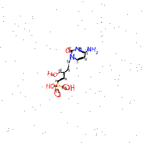 Nc1ccn(CCC(C=CP(=O)(O)O)CO)c(=O)n1